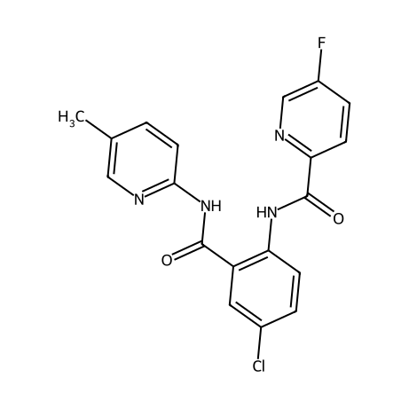 Cc1ccc(NC(=O)c2cc(Cl)ccc2NC(=O)c2ccc(F)cn2)nc1